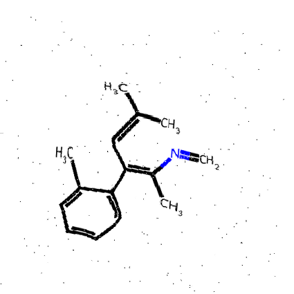 C=N/C(C)=C(\C=C(C)C)c1ccccc1C